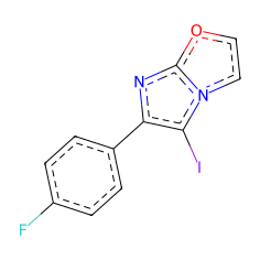 Fc1ccc(-c2nc3occn3c2I)cc1